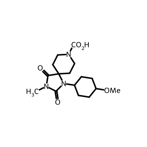 COC1CCC(N2C(=O)N(C)C(=O)C23CCN(C(=O)O)CC3)CC1